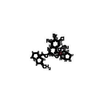 C=C1CN2CCCC2(COc2nc(N3CC4CCC(C3)N4C(=O)OC(C)(C)C)c3cc(Cl)c(Br)c(F)c3n2)C1